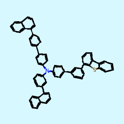 c1cc(-c2ccc(N(c3ccc(-c4ccc(-c5cccc6ccccc56)cc4)cc3)c3cccc(-c4cccc5ccccc45)c3)cc2)cc(-c2cccc3c2sc2ccccc23)c1